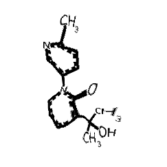 Cc1ccc(-n2cccc(C(C)(C)O)c2=O)cn1